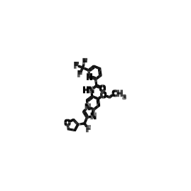 CCOc1cc2nc(C(F)[C@H]3CCOC3)cn2cc1NC(=O)c1cccc(C(F)(F)F)n1